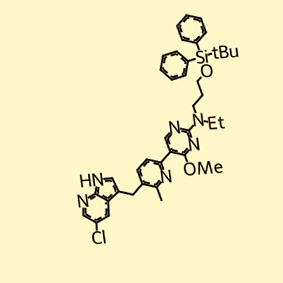 CCN(CCCO[Si](c1ccccc1)(c1ccccc1)C(C)(C)C)c1ncc(-c2ccc(Cc3c[nH]c4ncc(Cl)cc34)c(C)n2)c(OC)n1